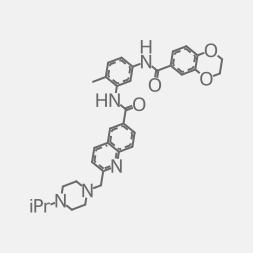 Cc1ccc(NC(=O)c2ccc3c(c2)OCCO3)cc1NC(=O)c1ccc2nc(CN3CCN(C(C)C)CC3)ccc2c1